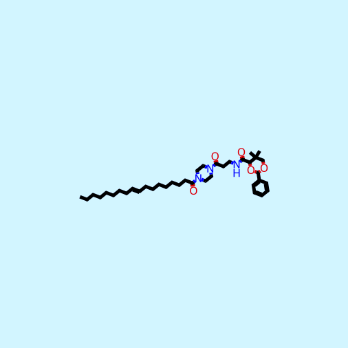 CCCCCCCC/C=C/CCCCCCCC(=O)N1CCN(C(=O)CCNC(=O)C2OC(c3ccccc3)OCC2(C)C)CC1